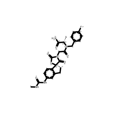 CNC(=O)Nc1ccc2c(c1)CC[C@@]21OC(=O)N(CC(=O)N(Cc2ccc(F)cc2)[C@@H](C)C(N)=O)C1=O